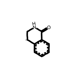 O=C1NC[C]c2ccccc21